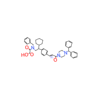 O=C(O)C(=O)N(Cc1ccccc1)CC(c1ccc(/C=C/C(=O)N2CCN(C(c3ccccc3)c3ccccc3)CC2)cc1)C1CCCCC1